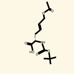 CC(=O)OCC=CC[C@H](NC(=O)OC(C)(C)C)C(=O)O